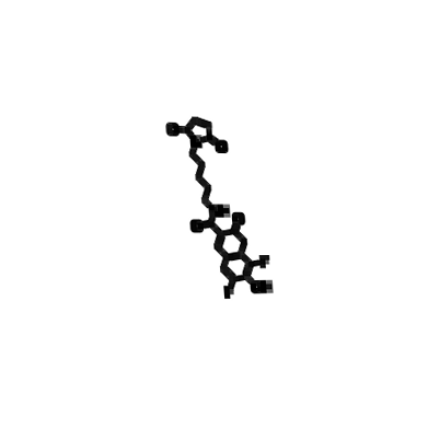 O=C1Cc2c(cc(F)c(O)c2F)C=C1C(=O)NCCCCCN1C(=O)C=CC1=O